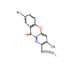 CC(C)c1ccc2oc3cc(C#N)c(N(C)O)nc3c(=O)c2c1